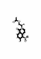 CC(=O)OC[C@@H](C)n1ccc2c([N+](=O)[O-])c(C)ccc2c1=O